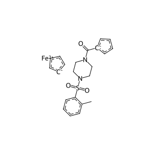 Cc1ccccc1S(=O)(=O)N1CCN(C(=O)[c-]2cccc2)CC1.[Fe+2].c1cc[cH-]c1